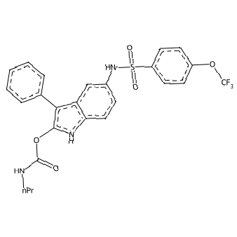 CCCNC(=O)Oc1[nH]c2ccc(NS(=O)(=O)c3ccc(OC(F)(F)F)cc3)cc2c1-c1ccccc1